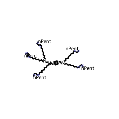 CCCCC/C=C\C/C=C\CCCCCCCCN(CCCCCCCC/C=C\C/C=C\CCCCC)CCN(CCCCCCCC/C=C\C/C=C\CCCCC)CCN1CCN(CCN(CCCCCCCC/C=C\C/C=C\CCCCC)CCCCCCCC/C=C\C/C=C\CCCCC)CC1